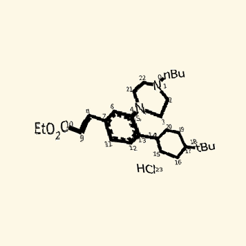 CCCCN1CCN(c2cc(/C=C/C(=O)OCC)ccc2C2CCC(C(C)(C)C)CC2)CC1.Cl